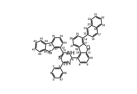 c1ccc(C2=NC(c3cccc4oc5c(-c6ccc7ccccc7c6)cccc5c34)NC(c3cccc4c3sc3ccccc34)=N2)cc1